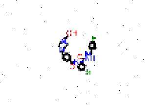 O=C(Nc1ccc(Br)cc1C(=O)N/N=C/c1ccc(F)cc1)c1ccc(CN2CCN(CCO)CC2)cc1